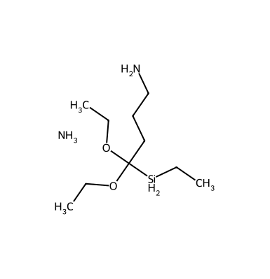 CCOC(CCCN)(OCC)[SiH2]CC.N